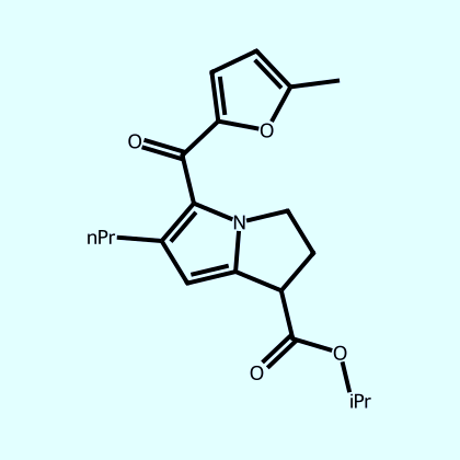 CCCc1cc2n(c1C(=O)c1ccc(C)o1)CCC2C(=O)OC(C)C